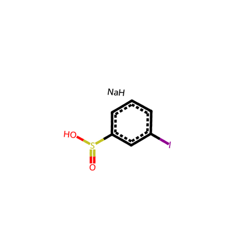 O=S(O)c1cccc(I)c1.[NaH]